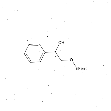 CCCCCOCC(O)c1ccccc1